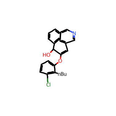 CCCCc1c(Cl)cccc1O/C(=C/c1cccnc1)C(O)c1ccccc1